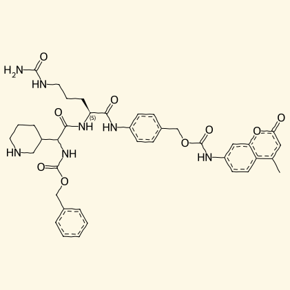 Cc1cc(=O)oc2cc(NC(=O)OCc3ccc(NC(=O)[C@H](CCCNC(N)=O)NC(=O)C(NC(=O)OCc4ccccc4)C4CCCNC4)cc3)ccc12